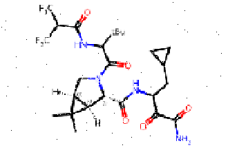 CC(C)(C)C(NC(=O)C(C(F)(F)F)C(F)(F)F)C(=O)N1C[C@H]2[C@@H]([C@H]1C(=O)NC(CC1CC1)C(=O)C(N)=O)C2(C)C